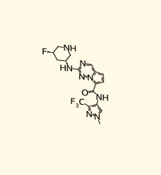 Cn1cc(NC(=O)c2ccc3cnc(N[C@@H]4CNC[C@H](F)C4)nn23)c(C(F)(F)F)n1